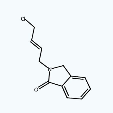 O=C1c2ccccc2CN1CC=CCCl